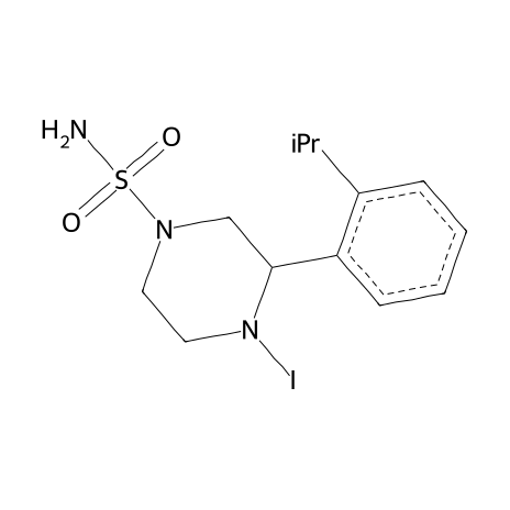 CC(C)c1ccccc1C1CN(S(N)(=O)=O)CCN1I